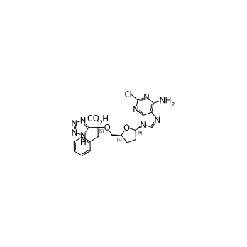 Nc1nc(Cl)nc2c1ncn2[C@H]1CC[C@@H](CO[C@](Cc2ccccc2)(C(=O)O)c2nnn[nH]2)O1